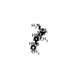 COc1cc(C(=O)NC2CCN(C)CC2)ccc1Nc1ncc(C(F)(F)F)c(NCCN)n1